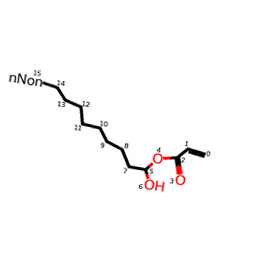 C=CC(=O)OC(O)CCCCCCCCCCCCCCCCC